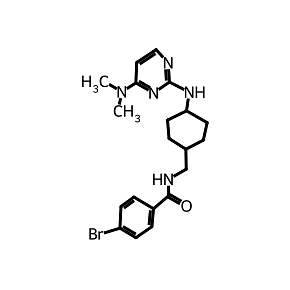 CN(C)c1ccnc(NC2CCC(CNC(=O)c3ccc(Br)cc3)CC2)n1